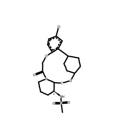 CS(=O)(=O)N[C@H]1CCCN2C(=O)COc3ccc(Cl)cc3C3CCC(CC3)OCC12